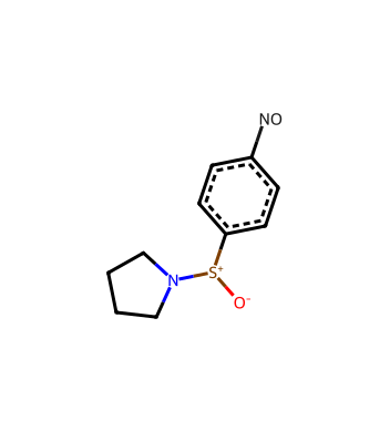 O=Nc1ccc([S+]([O-])N2CCCC2)cc1